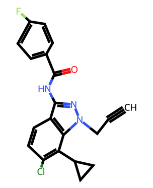 C#CCn1nc(NC(=O)c2ccc(F)cc2)c2ccc(Cl)c(C3CC3)c21